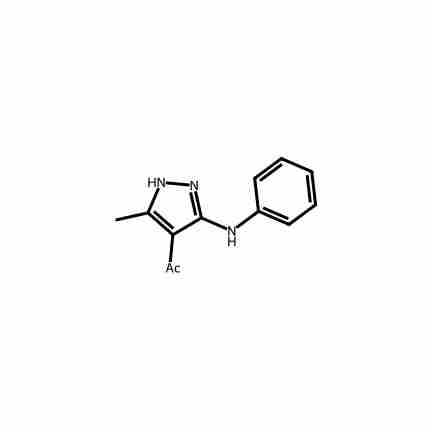 CC(=O)c1c(Nc2ccccc2)n[nH]c1C